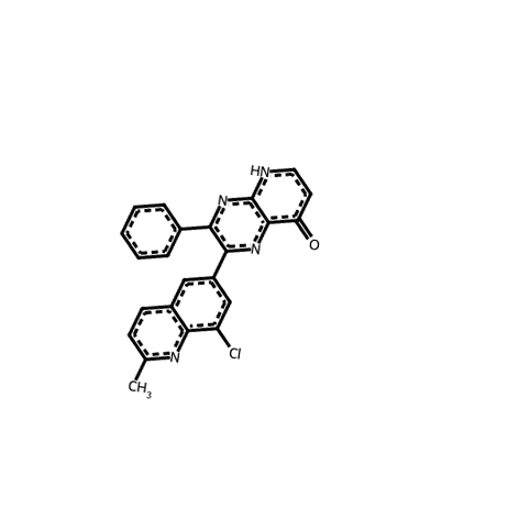 Cc1ccc2cc(-c3nc4c(=O)cc[nH]c4nc3-c3ccccc3)cc(Cl)c2n1